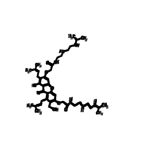 CC(C)=CCc1c(OCC(=O)NCCNCCNC(C)C)cc2oc3cc(OCC(=O)NCCNCCNC(C)C)c(CO)c(CC=C(C)C)c3c(=O)c2c1O